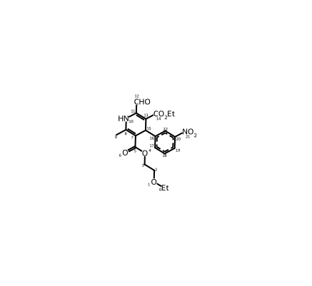 CCOCCOC(=O)C1=C(C)NC(C=O)=C(C(=O)OCC)C1c1cccc([N+](=O)[O-])c1